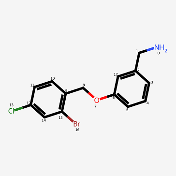 NCc1cccc(OCc2ccc(Cl)cc2Br)c1